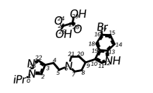 CC(C)n1cc(CCN2CCC(c3c[nH]c4ccc(Br)cc34)CC2)cn1.O=C(O)C(=O)O